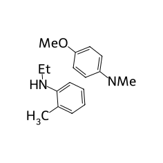 CCNc1ccccc1C.CNc1ccc(OC)cc1